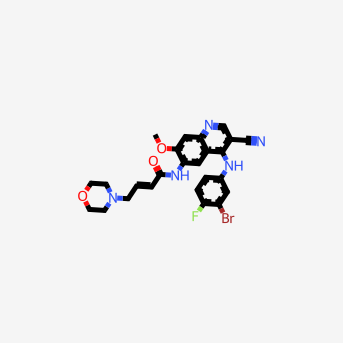 COc1cc2ncc(C#N)c(Nc3ccc(F)c(Br)c3)c2cc1NC(=O)/C=C/CN1CCOCC1